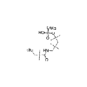 COP(=O)(O)OC(C)(C)CC(C)(C)CNC(=O)C(C)(C)CC(C)(C)C